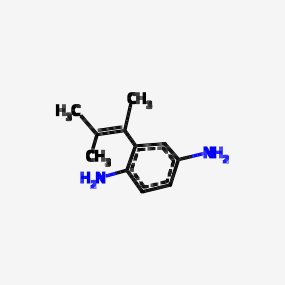 CC(C)=C(C)c1cc(N)ccc1N